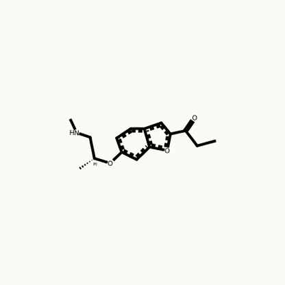 CCC(=O)c1cc2ccc(O[C@H](C)CNC)cc2o1